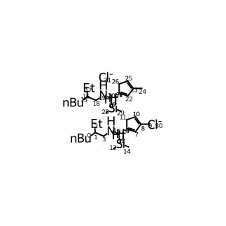 CCCCC(CC)C[NH][Hf+]([C]1=CC(C)=CC1)[SiH](C)C.CCCCC(CC)C[NH][Hf+]([C]1=CC(C)=CC1)[SiH](C)C.[Cl-].[Cl-]